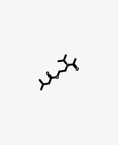 CC(=O)N(CCOC(=O)CC(C)C)C(C)C